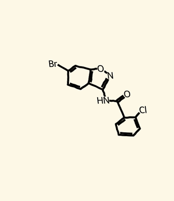 O=C(Nc1noc2cc(Br)ccc12)c1ccccc1Cl